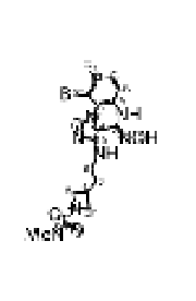 CNS(=O)(=O)N1CC(CCNc2nonc2/C(=N/O)Nc2ccc(F)c(Br)c2)C1